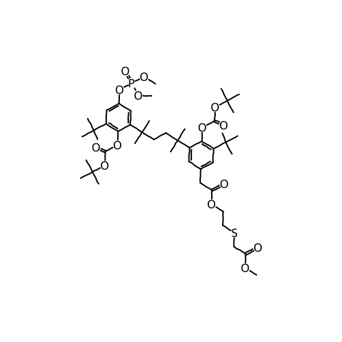 COC(=O)CSCCOC(=O)Cc1cc(C(C)(C)C)c(OC(=O)OC(C)(C)C)c(C(C)(C)CCC(C)(C)c2cc(OP(=O)(OC)OC)cc(C(C)(C)C)c2OC(=O)OC(C)(C)C)c1